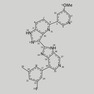 COc1cncc(-c2ccc3[nH]nc(-c4nc5c(-c6cc(C)cc(F)c6)cncc5[nH]4)c3n2)c1